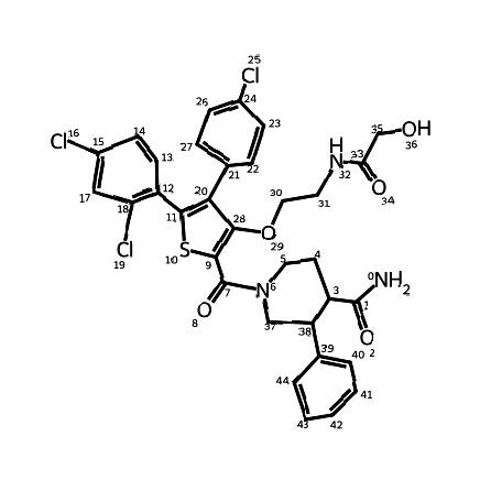 NC(=O)C1CCN(C(=O)c2sc(-c3ccc(Cl)cc3Cl)c(-c3ccc(Cl)cc3)c2OCCNC(=O)CO)CC1c1ccccc1